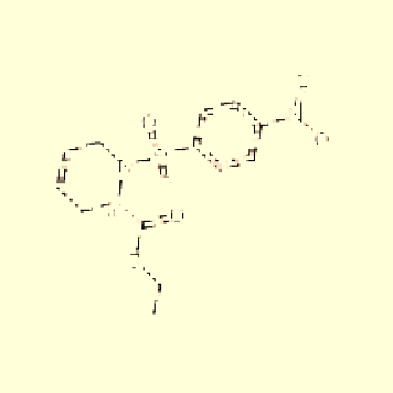 CCOC(=O)[C@@H]1CC=CCN1S(=O)(=O)c1ccc([N+](=O)[O-])cc1